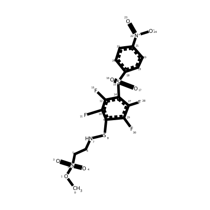 COS(=O)(=O)CCNSc1c(F)c(F)c(S(=O)(=O)c2ccc([N+](=O)[O-])cc2)c(F)c1F